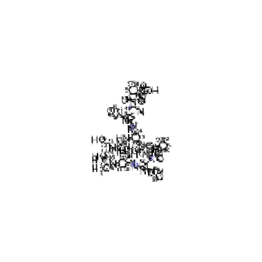 [C-]#[N+]/C(=C\c1sc(/N=N/c2ccc(N(CC)CC)cc2Nc2nc(Nc3cc(N(CC)CC)ccc3/N=N/c3nc(N4CCOCC4)c(/C=C(\C#N)N4C(=O)c5cccc(S(=O)(=O)O)c5C4=O)s3)nc(N(CCO)CCO)n2)nc1N1CCOCC1)N1C(=O)c2ccccc2C1=O